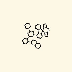 c1ccc(-c2nc(-c3ccccc3-c3ccc4ccccc4c3)cc(-c3cccc4c3-c3ccccc3C43c4ccccc4Sc4ccccc43)n2)cc1